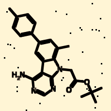 Cc1ccc(-c2cc(C)c3c(c2)c2c(N)ncnc2n3CC(=O)OC(C)(C)C)cc1